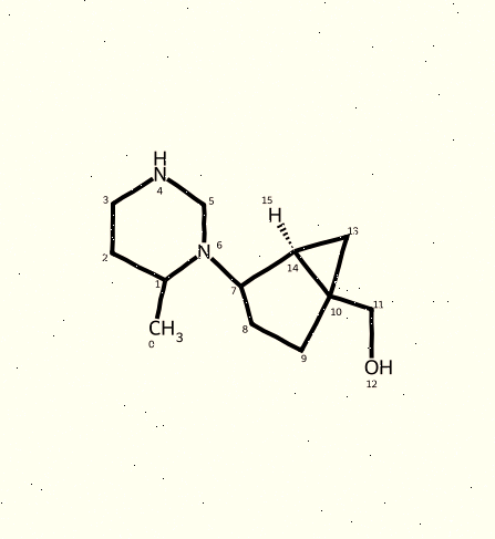 CC1CCNCN1C1CCC2(CO)C[C@H]12